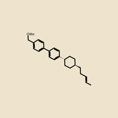 C/C=C/CC[C@H]1CC[C@H](c2ccc(-c3ccc(COC)cc3)cc2)CC1